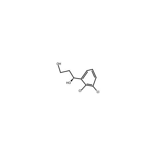 OCC[C@H](O)c1cccc(Cl)c1Cl